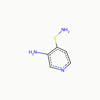 NSc1ccncc1N